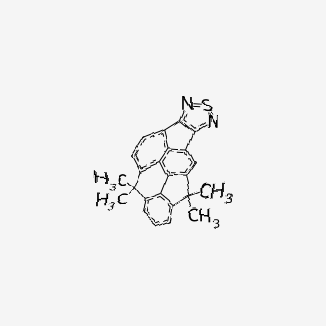 CC1(C)c2cccc3c2-c2c1cc1c4c(ccc(c24)C3(C)C)-c2nsnc2-1